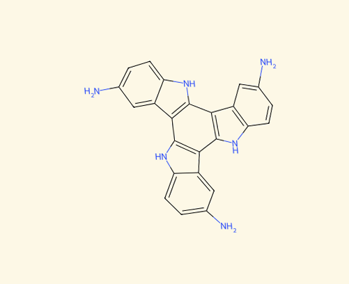 Nc1ccc2[nH]c3c(c2c1)c1[nH]c2ccc(N)cc2c1c1[nH]c2ccc(N)cc2c31